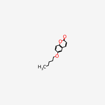 CCCCCOc1ccc2oc(=O)ccc2c1